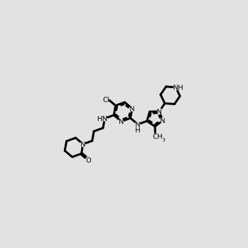 Cc1nn(C2CCNCC2)cc1Nc1ncc(Cl)c(NCCCN2CCCCC2=O)n1